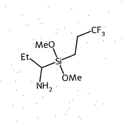 CCC(N)[Si](CCC(F)(F)F)(OC)OC